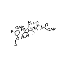 COCC(=O)N1CC[C@@H](NC(=O)c2c(C)[nH]c3c(-c4cc(OC)c(F)cc4OCC4CC4)ncnc23)[C@H](O)C1